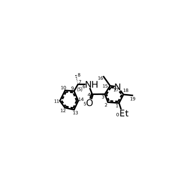 CCc1cc(C(=O)N[C@@H](C)c2ccccc2)c(C)nc1C